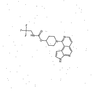 O=C(NCC(F)(F)F)OC1CCN(c2nccc3cnc4[nH]ccc4c23)CC1